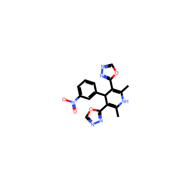 CC1=C(c2nnco2)C(c2cccc([N+](=O)[O-])c2)C(c2nnco2)=C(C)N1